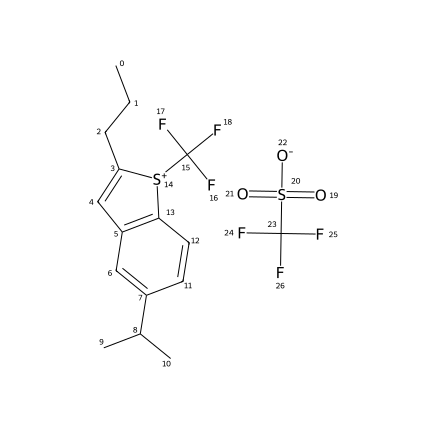 CCCc1cc2cc(C(C)C)ccc2[s+]1C(F)(F)F.O=S(=O)([O-])C(F)(F)F